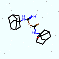 N=C(NC12CC3CC(CC(C3)C1)C2)SC(=S)NC12CC3CC(CC(C3)C1)C2